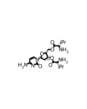 CC(C)[C@H](N)C(=O)OC[C@@H]1O[C@H](n2ccc(N)nc2=O)C[C@@H]1OC(=O)[C@H](N)C(C)C